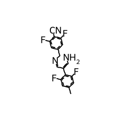 Cc1cc(F)c(C(/C=N\Cc2cc(F)c(C#N)c(F)c2)=C/N)c(F)c1